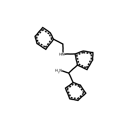 NC(c1ccccc1)c1ccccc1NCc1ccccc1